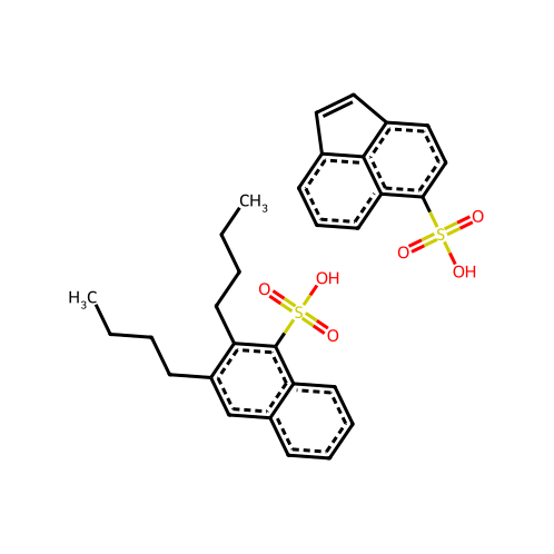 CCCCc1cc2ccccc2c(S(=O)(=O)O)c1CCCC.O=S(=O)(O)c1ccc2c3c(cccc13)C=C2